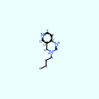 CCCCN1C=Nc2ccncc2C1